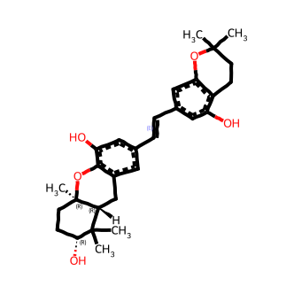 CC1(C)CCc2c(O)cc(/C=C/c3cc(O)c4c(c3)C[C@@H]3C(C)(C)[C@H](O)CC[C@@]3(C)O4)cc2O1